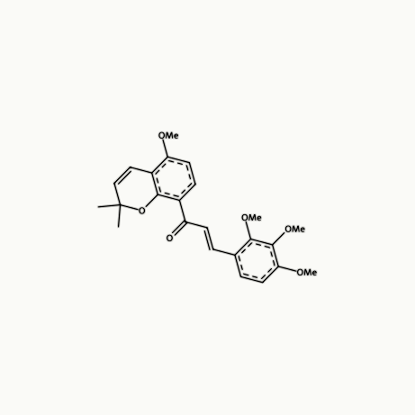 COc1ccc(C(=O)C=Cc2ccc(OC)c(OC)c2OC)c2c1C=CC(C)(C)O2